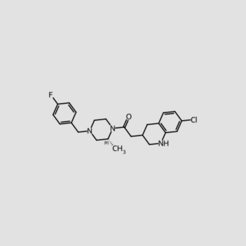 C[C@@H]1CN(Cc2ccc(F)cc2)CCN1C(=O)CC1CNc2cc(Cl)ccc2C1